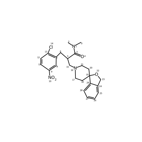 CN(C)C(=O)C(Cc1cc([N+](=O)[O-])ccc1Cl)CN1CCC2(CC1)OCc1ccccc12